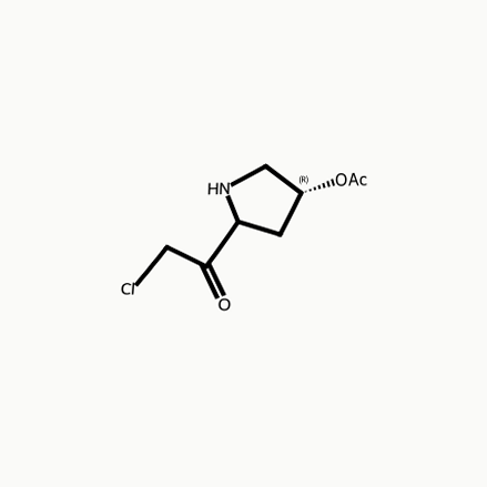 CC(=O)O[C@H]1CNC(C(=O)CCl)C1